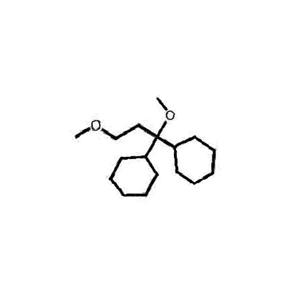 COCCC(OC)(C1CCCCC1)C1CCCCC1